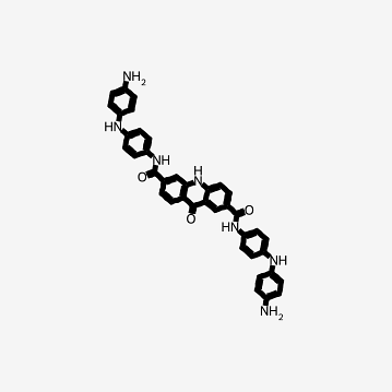 Nc1ccc(Nc2ccc(NC(=O)c3ccc4c(=O)c5cc(C(=O)Nc6ccc(Nc7ccc(N)cc7)cc6)ccc5[nH]c4c3)cc2)cc1